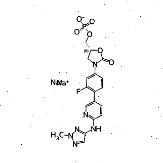 Cn1ncc(Nc2ccc(-c3ccc(N4C[C@H](COP(=O)([O-])[O-])OC4=O)cc3F)cn2)n1.[Na+].[Na+]